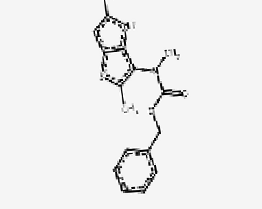 CCOC(=O)c1cc2sc(C)c(N(C)C(=O)OCc3ccccc3)c2[nH]1